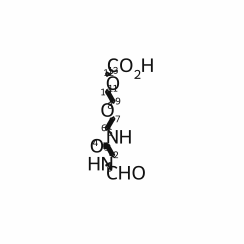 O=CNCC(=O)NCCOCCOCC(=O)O